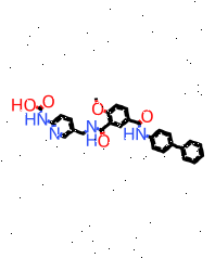 COc1ccc(C(=O)Nc2ccc(-c3ccccc3)cc2)cc1C(=O)NCc1ccc(NC(=O)O)nc1